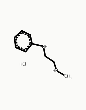 CNCCNc1ccccc1.Cl